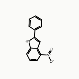 O=[N+]([O-])c1cccc2[nH]c(-c3ccccc3)cc12